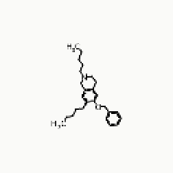 CCCCCc1cc2c(cc1OCc1ccccc1)CCN(CCCCC)C2